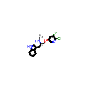 CN[C@H](COc1cnc(Cl)c(Br)c1)Cc1c[nH]c2ccccc12